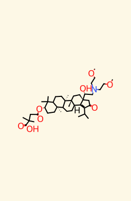 COCCN(CCOC)C[C@@H](O)[C@@]12CC[C@]3(C)[C@H](CCC4[C@@]5(C)CC[C@H](OC(=O)CC(C)(C)C(=O)O)C(C)(C)C5CC[C@]43C)C1=C(C(C)C)C(=O)C2